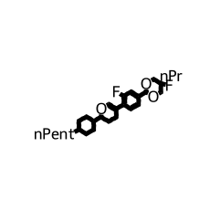 CCCCCC1CCC(C2CCC(c3ccc(C4OCC(F)(CCC)CO4)cc3F)=CO2)CC1